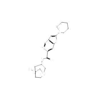 O=C(N[C@@H]1C[C@H]2CCN(C2)C1)c1cc2sc(N3CCCCC3)cc2cn1